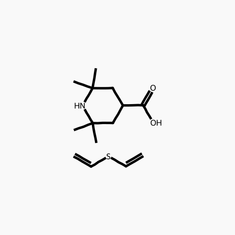 C=CSC=C.CC1(C)CC(C(=O)O)CC(C)(C)N1